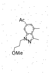 COCCCn1nc(C)c2c(C)cc(C(C)=O)cc21